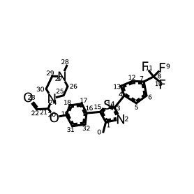 Cc1nc(-c2ccc(C(F)(F)F)cc2)sc1-c1ccc(OC(C=O)N2CCN(C)CC2)cc1